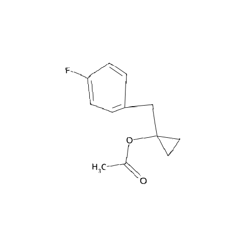 CC(=O)OC1(Cc2ccc(F)cc2)CC1